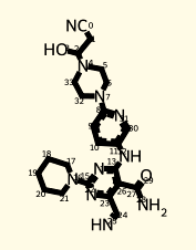 N#CCC(O)N1CCN(c2ccc(Nc3nc(N4CCCCC4)nc(C=N)c3C(N)=O)cn2)CC1